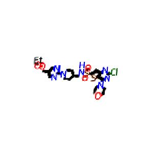 CCOOCc1cnc(N2CCC(CNS(=O)(=O)c3cc4nc(Cl)nc(N5CCOCC5)c4s3)CC2)nc1